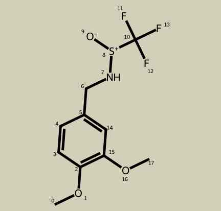 COc1ccc(CN[S+]([O-])C(F)(F)F)cc1OC